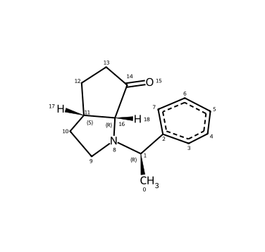 C[C@H](c1ccccc1)N1CC[C@@H]2CCC(=O)[C@@H]21